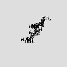 CN(C)CCOc1cc(F)cc(-c2cccc3[nH]c(-c4n[nH]c5ccc(-c6cncc(N7CC(N)C7)n6)nc45)cc23)c1